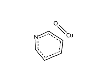 [O]=[Cu].c1ccncc1